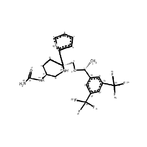 C[C@@H](OC[C@@]1(c2ccccc2)CC[C@H](NC(N)=O)CN1)c1cc(C(F)(F)F)cc(C(F)(F)F)c1